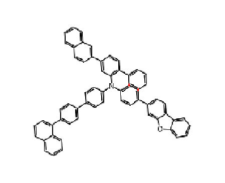 c1ccc(-c2ccc(-c3ccc4ccccc4c3)cc2N(c2ccc(-c3ccc(-c4cccc5ccccc45)cc3)cc2)c2ccc(-c3ccc4c(c3)oc3ccccc34)cc2)cc1